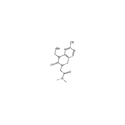 CN(C)C(=O)CN1Cc2cnc(C#N)nc2N(CC(C)(C)C)C1=O